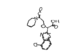 O=C=C(COC(C(=O)O)c1nc2c(Cl)cccc2s1)N1CCCCC1